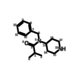 CC(C)C(=O)N(Cc1ccccc1)C1CCNCC1